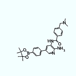 CN(C)Cc1ccc(C(=O)Nc2cc(-c3ccc(B4OC(C)(C)C(C)(C)O4)cc3)cnc2N)cc1